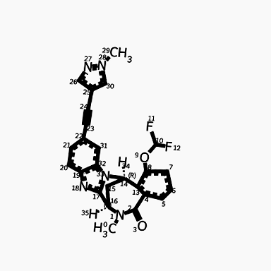 CN1C(=O)c2cccc(OC(F)F)c2[C@H]2C[C@@H]1c1nc3ccc(C#Cc4cnn(C)c4)cc3n12